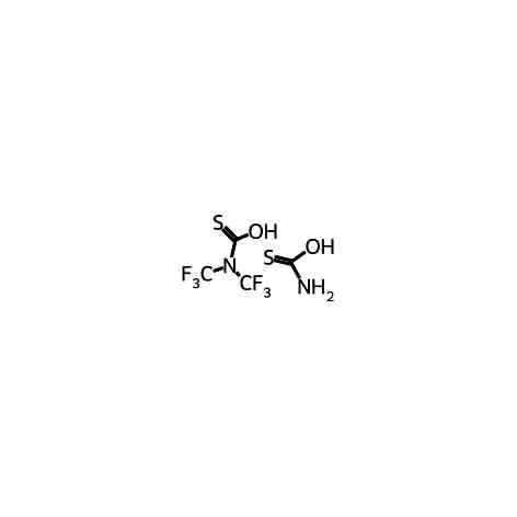 NC(O)=S.OC(=S)N(C(F)(F)F)C(F)(F)F